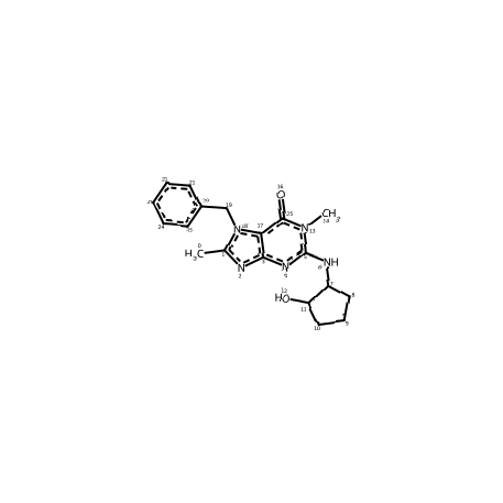 Cc1nc2nc(NC3CCCC3O)n(C)c(=O)c2n1Cc1ccccc1